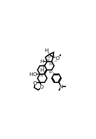 CO[C@@]12C[C@@H]1C[C@H]1[C@@H]3CC[C@@]4(O)CC5(CCC4=C3[C@@H](c3ccc(N(C)C)cc3)C[C@@]12C)OCCO5